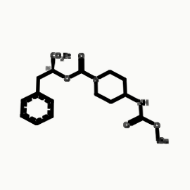 CCOC(=O)[C@H](Cc1ccccc1)OC(=O)N1CCC(NC(=O)OC(C)(C)C)CC1